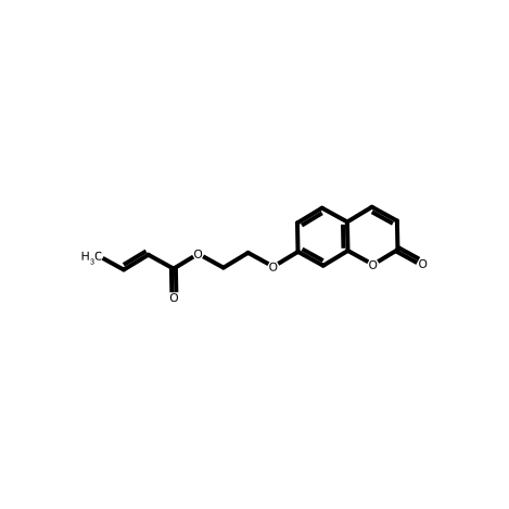 CC=CC(=O)OCCOc1ccc2ccc(=O)oc2c1